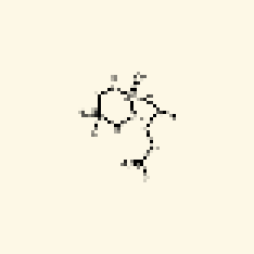 CC(=O)CCC(C)OP1(=O)OCC(C)(C)CO1